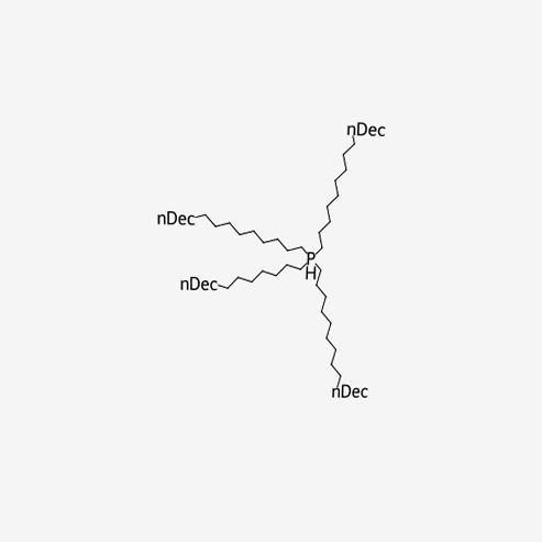 CCCCCCCCCCCCCCCCCCC[PH](CCCCCCCCCCCCCCCCC)(CCCCCCCCCCCCCCCCCCC)CCCCCCCCCCCCCCCCCCC